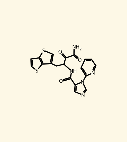 NC(=O)C(=O)C(Cc1csc2ccsc12)NC(=O)c1cncn1-c1ccccn1